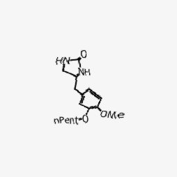 CCCCCOc1cc(CC2CNC(=O)N2)ccc1OC